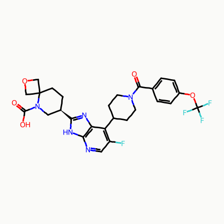 O=C(c1ccc(OC(F)(F)F)cc1)N1CCC(c2c(F)cnc3[nH]c([C@@H]4CCC5(COC5)N(C(=O)O)C4)nc23)CC1